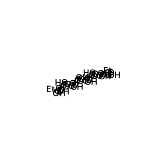 CCC(CO)COP(=O)(O)OCCOP(=O)(O)OCCOP(=O)(O)OCCOP(=O)(O)OCCOP(=O)(O)OCCOP(=O)(O)OCCOP(=O)(O)OCC(CC)COP(=O)(O)O